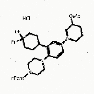 CCCCCN1CCN(c2ccc(N3CCC[C@H](OC)C3)cc2C2CCC(CC)(CC)CC2)CC1.Cl